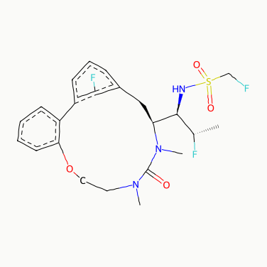 C[C@H](F)[C@H](NS(=O)(=O)CF)[C@@H]1Cc2cccc(c2F)-c2ccccc2OCCN(C)C(=O)N1C